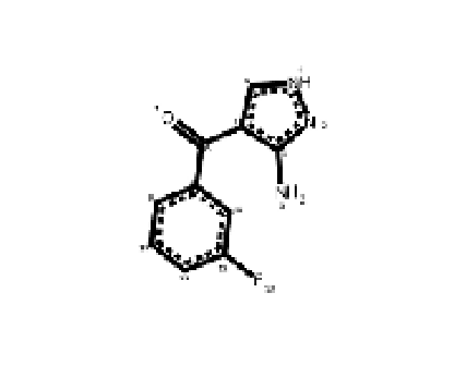 Nc1n[nH]cc1C(=O)c1cccc(F)c1